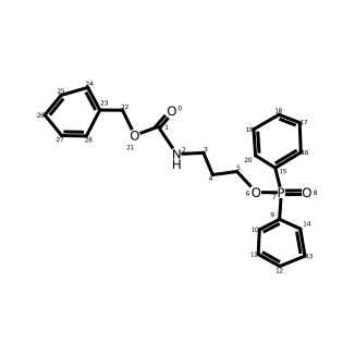 O=C(NCCCOP(=O)(c1ccccc1)c1ccccc1)OCc1ccccc1